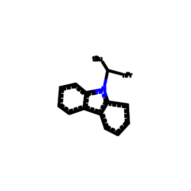 CCCC(n1c2ccccc2c2ccccc21)C(C)(C)C